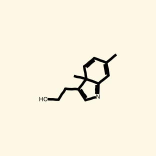 CC1=CC2=NC=C(CCO)C2(C)C=C1